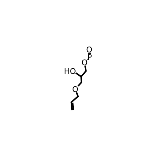 C=CCOCC(O)COP=O